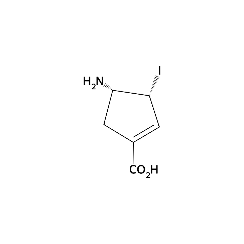 N[C@H]1CC(C(=O)O)=C[C@H]1I